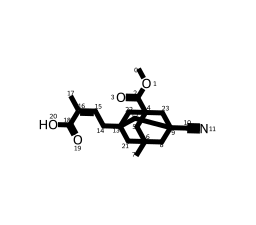 COC(=O)C12CC3(C)CC(C#N)(CC(CC=C(C)C(=O)O)(C3)C1)C2